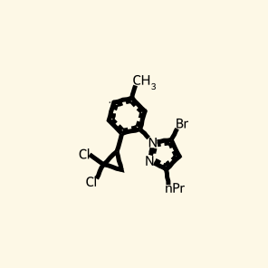 CCCc1cc(Br)n(-c2cc(C)[c]cc2C2CC2(Cl)Cl)n1